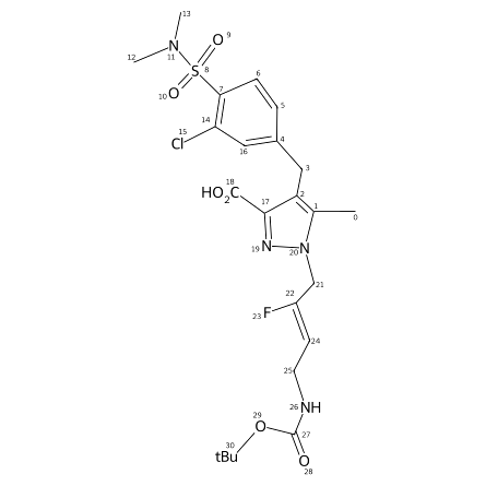 Cc1c(Cc2ccc(S(=O)(=O)N(C)C)c(Cl)c2)c(C(=O)O)nn1CC(F)=CCNC(=O)OC(C)(C)C